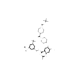 COc1cc2nc(C)nc(N[C@H](C)c3cc([N+](=O)[O-])cc(C(F)(F)F)c3)c2cc1OC1CCN(C(=O)C2CCN(C(=O)OC(C)(C)C)CC2)CC1